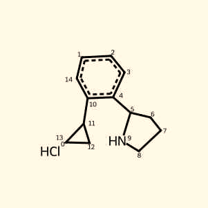 Cl.c1ccc(C2CCCN2)c(C2CC2)c1